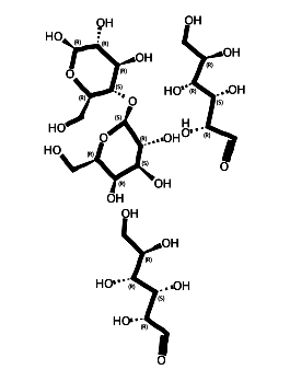 O=C[C@H](O)[C@@H](O)[C@H](O)[C@H](O)CO.O=C[C@H](O)[C@@H](O)[C@H](O)[C@H](O)CO.OC[C@H]1O[C@@H](O[C@H]2[C@H](O)[C@@H](O)[C@H](O)O[C@@H]2CO)[C@H](O)[C@@H](O)[C@H]1O